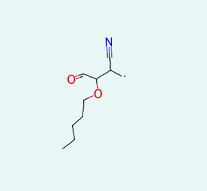 [CH2]C(C#N)C(C=O)OCCCCC